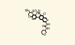 Cc1c(-c2cc3cc(NC(=O)NC4CCCOC4)ncc3c(Cl)c2F)cnc2c1N(C(=O)O)C(C(C)(C)C)CO2